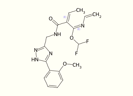 C=C/N=C(OC(F)F)\C(=C/C)C(=O)NCc1n[nH]c(-c2ccccc2OC)n1